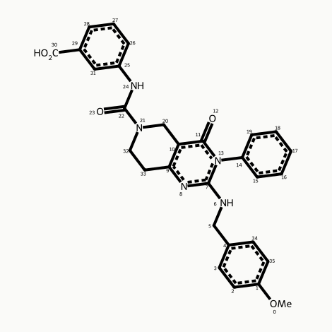 COc1ccc(CNc2nc3c(c(=O)n2-c2ccccc2)CN(C(=O)Nc2cccc(C(=O)O)c2)CC3)cc1